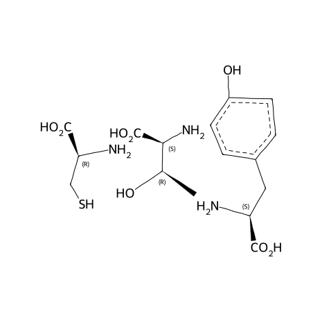 C[C@@H](O)[C@H](N)C(=O)O.N[C@@H](CS)C(=O)O.N[C@@H](Cc1ccc(O)cc1)C(=O)O